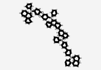 c1ccc(N(c2ccc(-c3ccc(N(c4ccccc4)c4cccc5cc(-c6ccc7cc(N(c8ccccc8)c8ccc9c(c8)Oc8ccc(N(c%10ccccc%10)c%10cc%11ccccc%11c%11ccccc%10%11)cc8O9)c8ccccc8c7c6)ccc45)cc3)cc2)c2cccc3ccccc23)cc1